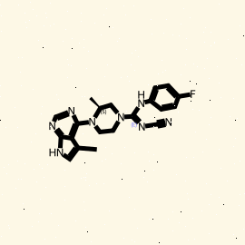 Cc1c[nH]c2ncnc(N3CCN(/C(=N/C#N)Nc4ccc(F)cc4)C[C@@H]3C)c12